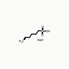 C=CCCCCS(=O)(=O)O.[NaH]